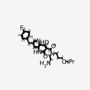 CC(C)OCCCN(CCN)C(=O)c1c(O)c2ncc(Cc3ccc(F)cc3)cc2[nH]c1=O